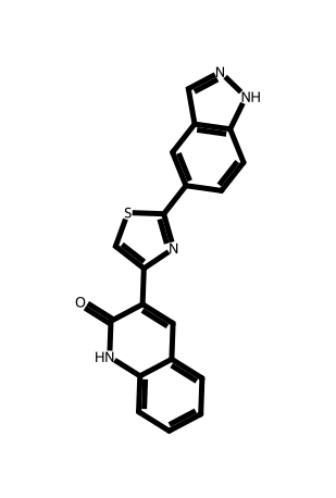 O=c1[nH]c2ccccc2cc1-c1csc(-c2ccc3[nH]ncc3c2)n1